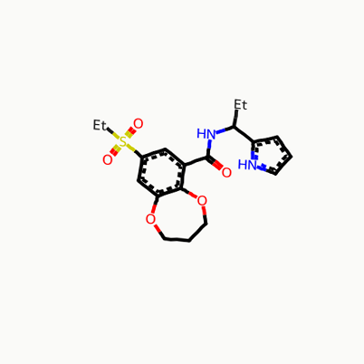 CCC(NC(=O)c1cc(S(=O)(=O)CC)cc2c1OCCCO2)c1ccc[nH]1